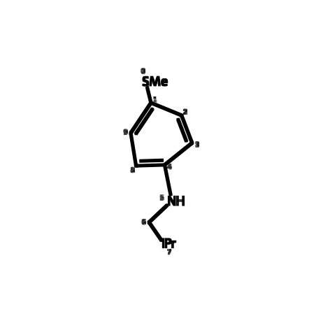 CSc1ccc(NCC(C)C)cc1